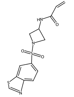 C=CC(=O)NC1CN(S(=O)(=O)c2ccc3ncsc3c2)C1